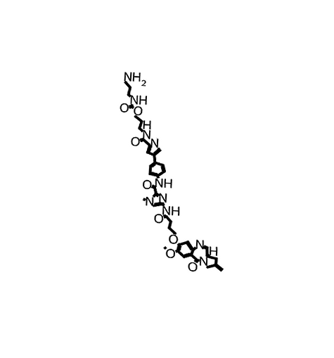 C=C1C[C@H]2C=Nc3cc(OCCCC(=O)Nc4cn(C)c(C(=O)Nc5ccc(-c6cc(C(=O)NCCCOC(=O)NCCCN)n(C)c6)cc5)n4)c(OC)cc3C(=O)N2C1